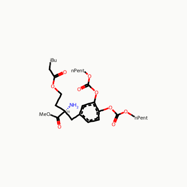 CCCCCOC(=O)Oc1ccc(C[C@](N)(CCOC(=O)CC(C)CC)C(=O)OC)cc1OC(=O)OCCCCC